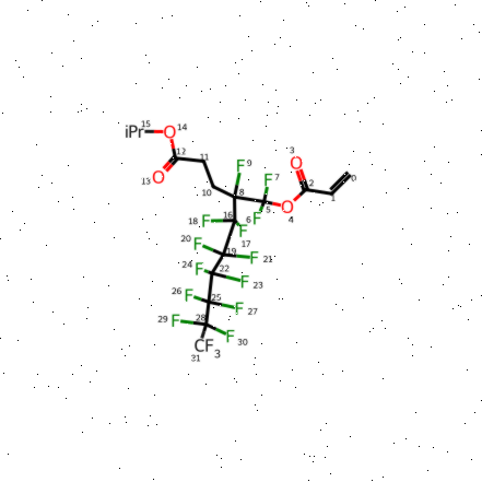 C=CC(=O)OC(F)(F)C(F)(CCC(=O)OC(C)C)C(F)(F)C(F)(F)C(F)(F)C(F)(F)C(F)(F)C(F)(F)F